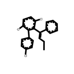 CCC=C(c1ccccc1)c1c(Cl)ccc([O])c1-c1ccc(Cl)cc1